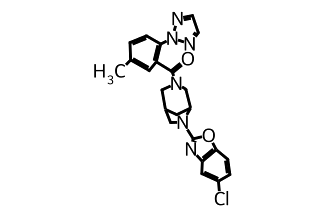 Cc1ccc(-n2nccn2)c(C(=O)N2CC3CC(C2)N(c2nc4cc(Cl)ccc4o2)C3)c1